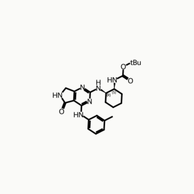 Cc1cccc(Nc2nc(N[C@@H]3CCCC[C@@H]3NC(=O)OC(C)(C)C)nc3c2C(=O)NC3)c1